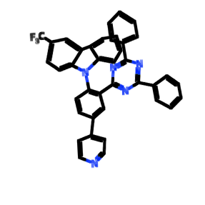 FC(F)(F)c1ccc2c(c1)c1ccccc1n2-c1ccc(-c2ccncc2)cc1-c1nc(-c2ccccc2)nc(-c2ccccc2)n1